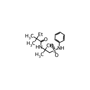 CCC(C)(C)C(=O)NC(C)(C)CS(=O)(=O)Nc1ccccc1